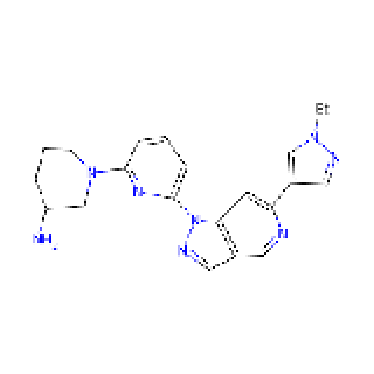 CCn1cc(-c2cc3c(cn2)cnn3-c2cccc(N3CCCC(N)C3)n2)cn1